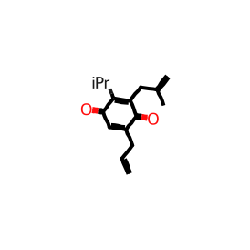 C=CCC1=CC(=O)C(C(C)C)=C(CC(=C)C)C1=O